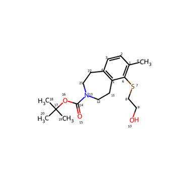 Cc1ccc2c(c1SCCO)CCN(C(=O)OC(C)(C)C)CC2